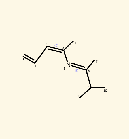 C=C/C=C(C)\N=C(/C)C(C)C